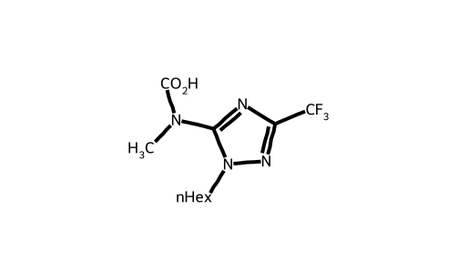 CCCCCCn1nc(C(F)(F)F)nc1N(C)C(=O)O